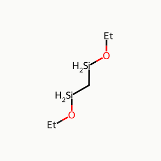 CCO[SiH2]C[SiH2]OCC